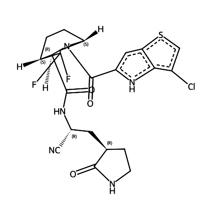 N#C[C@@H](C[C@H]1CCNC1=O)NC(=O)[C@H]1[C@@H]2CC[C@@H](CC2(F)F)N1C(=O)c1cc2scc(Cl)c2[nH]1